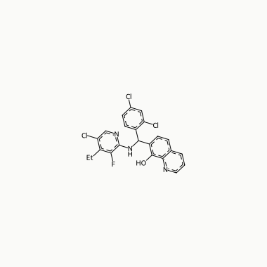 CCc1c(Cl)cnc(NC(c2ccc(Cl)cc2Cl)c2ccc3cccnc3c2O)c1F